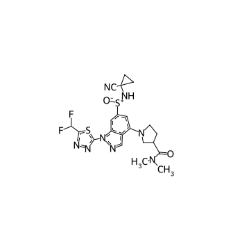 CN(C)C(=O)C1CCN(c2cc([S+]([O-])NC3(C#N)CC3)cc3c2cnn3-c2nnc(C(F)F)s2)C1